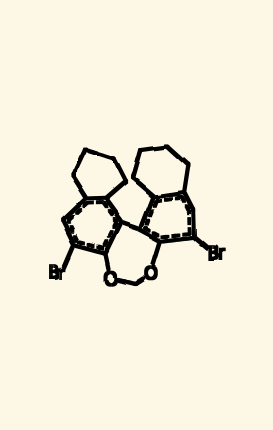 Brc1cc2c(c3c1OCOc1c(Br)cc4c(c1-3)CCCC4)CCCC2